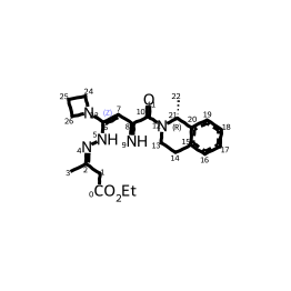 CCOC(=O)CC(C)=NN/C(=C\C(=N)C(=O)N1CCc2ccccc2[C@H]1C)N1CCC1